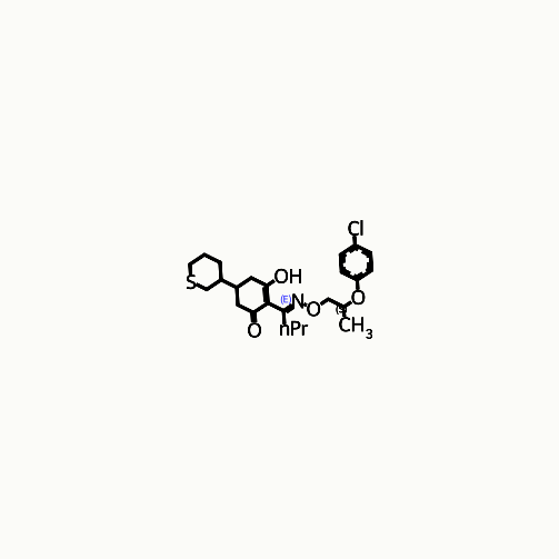 CCC/C(=N\OC[C@H](C)Oc1ccc(Cl)cc1)C1=C(O)CC(C2CCCSC2)CC1=O